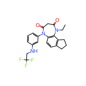 CCN1C(=O)CC(=O)N(c2cccc(NCC(F)(F)F)c2)c2ccc3c(c21)CCC3